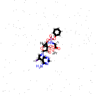 CC(C)OC(=O)[C@@H](C)NP(=O)(Oc1ccccc1)OC1[C@H]2O[C@@H](n3cc(I)c4c(N)ncnc43)[C@H](O)[C@@]12O